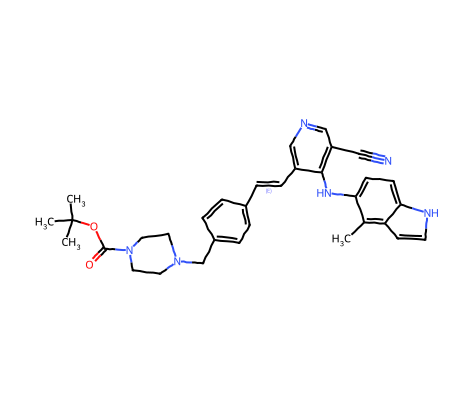 Cc1c(Nc2c(C#N)cncc2/C=C/c2ccc(CN3CCN(C(=O)OC(C)(C)C)CC3)cc2)ccc2[nH]ccc12